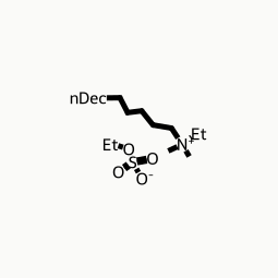 CCCCCCCCCCCCCCC[N+](C)(C)CC.CCOS(=O)(=O)[O-]